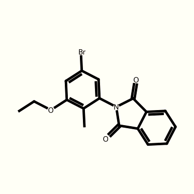 CCOc1cc(Br)cc(N2C(=O)c3ccccc3C2=O)c1C